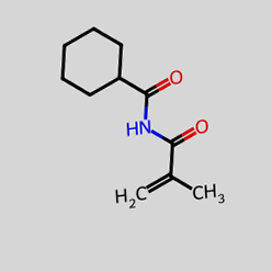 C=C(C)C(=O)NC(=O)C1CCCCC1